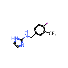 FC(F)(F)c1cc(CNc2ncc[nH]2)ccc1I